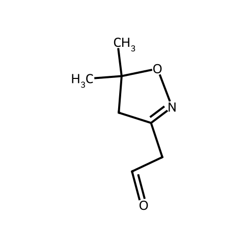 CC1(C)CC(CC=O)=NO1